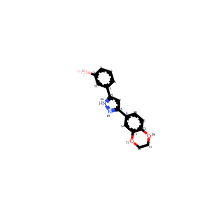 Bc1cccc(-c2cc(-c3ccc4c(c3)OCCO4)n[nH]2)c1